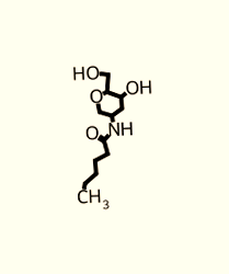 CCCCCC(=O)NC1COC(CO)C(O)C1